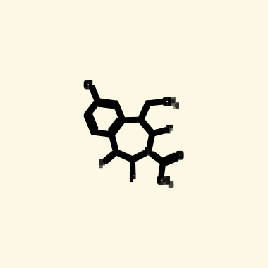 CCC1c2cc(Cl)ccc2C(F)C(F)N(C(C)=O)C1F